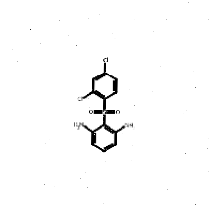 Nc1cccc(N)c1S(=O)(=O)c1ccc(Cl)cc1Cl